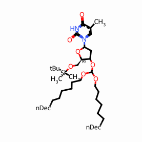 CCCCCCCCCCCCCCCCOC(OCCCCCCCCCCCCCCCC)OC1CC(n2cc(C)c(=O)[nH]c2=O)O[C@@H]1CO[Si](C)(C)C(C)(C)C